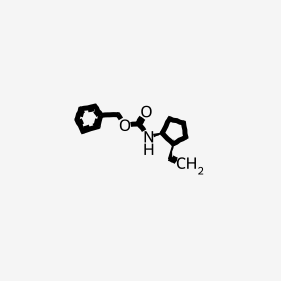 C=C[C@@H]1CCC[C@@H]1NC(=O)OCc1ccccc1